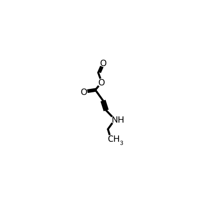 CCNC#CC(=O)OC=O